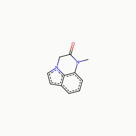 CN1C(=O)Cn2ccc3cccc1c32